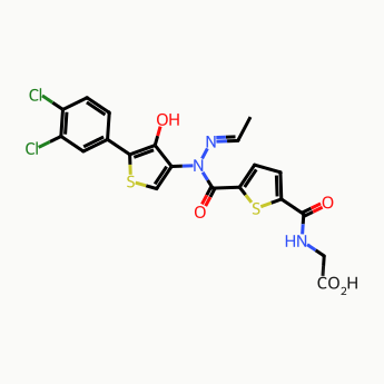 CC=NN(C(=O)c1ccc(C(=O)NCC(=O)O)s1)c1csc(-c2ccc(Cl)c(Cl)c2)c1O